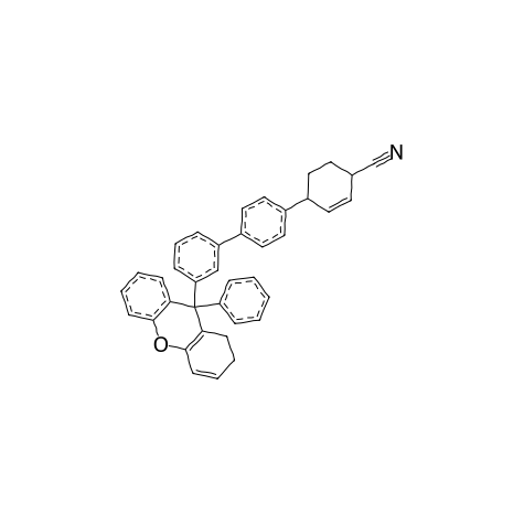 N#CC1C=CC(c2ccc(-c3cccc(C4(c5ccccc5)C5=C(C=CCC5)Oc5ccccc54)c3)cc2)CC1